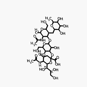 CC(=O)NC1C(C)OC(CO)C(CC2OC(C)C(O)C(O)C2O)C1OC1OC(CO)C(O)C(OC2(C(=O)O)CC(O)C(NC(C)=O)C([C@H](O)[C@H](O)CO)O2)C1O